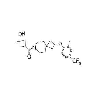 Cc1cc(C(F)(F)F)ccc1OC1CC2(CCN(C(=O)C3CC(C)(O)C3)CC2)C1